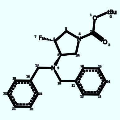 CC(C)(C)OC(=O)N1C[C@@H](F)[C@H](N(Cc2ccccc2)Cc2ccccc2)C1